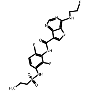 CCCS(=O)(=O)Nc1ccc(F)c(NC(=O)c2csc3c(NCCF)ncnc23)c1F